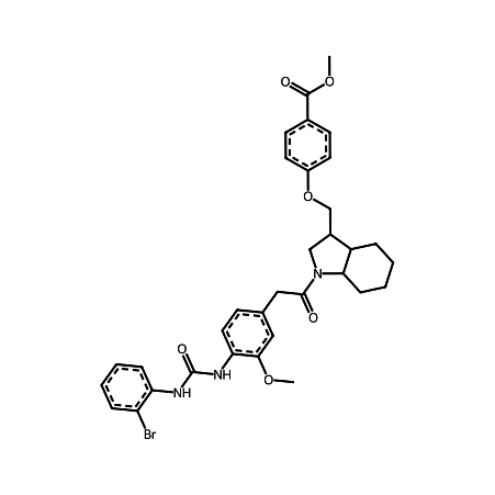 COC(=O)c1ccc(OCC2CN(C(=O)Cc3ccc(NC(=O)Nc4ccccc4Br)c(OC)c3)C3CCCCC23)cc1